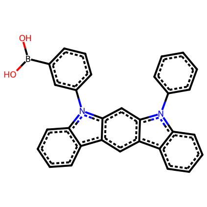 OB(O)c1cccc(-n2c3ccccc3c3cc4c5ccccc5n(-c5ccccc5)c4cc32)c1